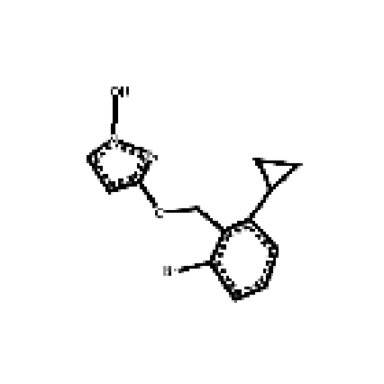 On1ccc(OCc2c(Br)cccc2C2CC2)n1